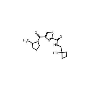 CC1CCCN1C(=O)c1csc(C(=O)NCC2(O)CCC2)n1